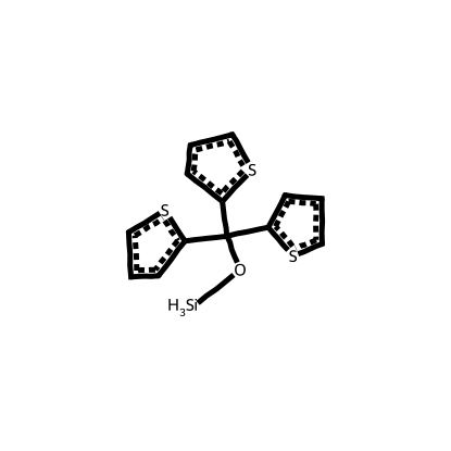 [SiH3]OC(c1cccs1)(c1cccs1)c1cccs1